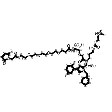 C[SiH](C)CCOC(=O)NCCCN(C(=O)CSC[C@H](NC(=O)CCOCCOCCOCCOCCNC(=O)CN1C(=O)C=CC1=O)C(=O)O)[C@@H](c1cc(-c2cc(F)ccc2F)cn1Cc1ccccc1)C(C)(C)C